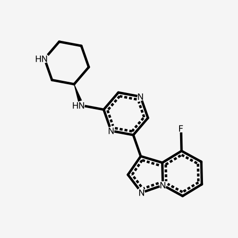 Fc1cccn2ncc(-c3cncc(N[C@@H]4CCCNC4)n3)c12